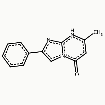 Cc1cc(=O)n2cc(-c3ccccc3)nc2[nH]1